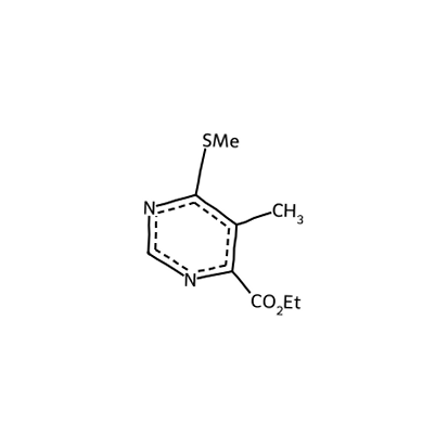 CCOC(=O)c1ncnc(SC)c1C